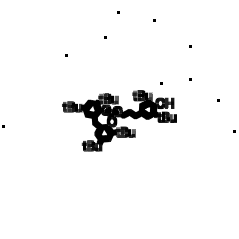 CC(C)(C)c1cc2c(c(C(C)(C)C)c1)OP(OCCCc1cc(C(C)(C)C)c(O)c(C(C)(C)C)c1)Oc1c(cc(C(C)(C)C)cc1C(C)(C)C)C2